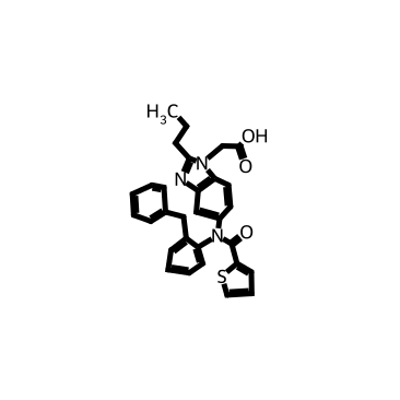 CCCc1nc2cc(N(C(=O)c3cccs3)c3ccccc3Cc3ccccc3)ccc2n1CC(=O)O